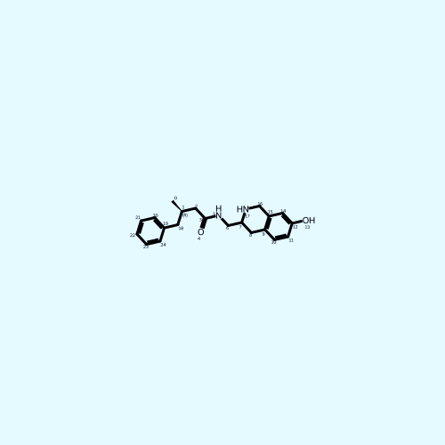 C[C@@H](CC(=O)NCC1Cc2ccc(O)cc2CN1)Cc1ccccc1